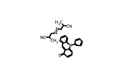 CC(C#N)CN=NCC(C)C#N.S=c1cccc2n(-c3ccccc3)c3ccccc3cc1-2